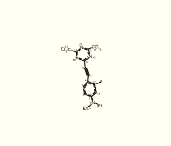 CCN(CC)c1ccc(C#Cc2nc(C(Cl)(Cl)Cl)nc(C(Cl)(Cl)Cl)n2)c(C)c1